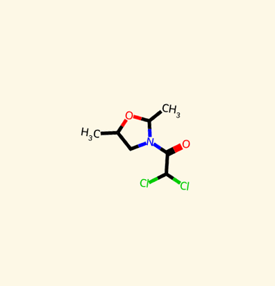 CC1CN(C(=O)C(Cl)Cl)C(C)O1